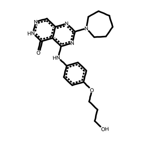 O=c1[nH]ncc2nc(N3CCCCCC3)nc(Nc3ccc(OCCCO)cc3)c12